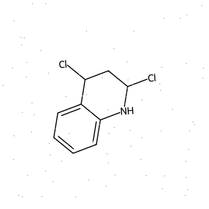 ClC1CC(Cl)c2ccccc2N1